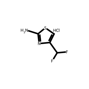 Cl.Nc1nc(C(F)F)cs1